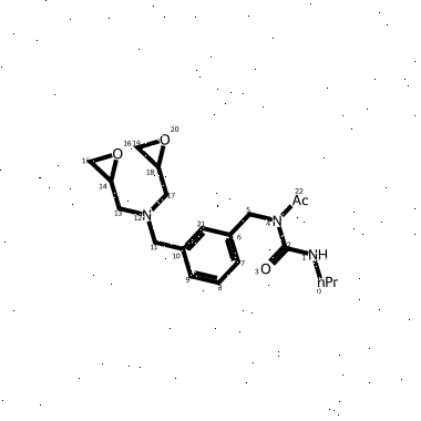 CCCNC(=O)N(Cc1cccc(CN(CC2CO2)CC2CO2)c1)C(C)=O